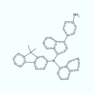 CC1(C)c2ccccc2-c2ccc(N(c3cccc4ccccc34)c3ccc(-c4ccc(N)cc4)c4ccccc34)cc21